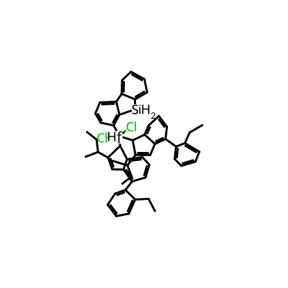 CCc1ccccc1-c1cccc2c1C=C(C(C)CC)[CH]2[Hf]([Cl])([Cl])([c]1cccc2c1[SiH2]c1ccccc1-2)[CH]1C(C(C)CC)=Cc2c(-c3ccccc3CC)cccc21